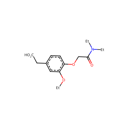 CCOc1cc(CC(=O)O)ccc1OCC(=O)N(CC)CC